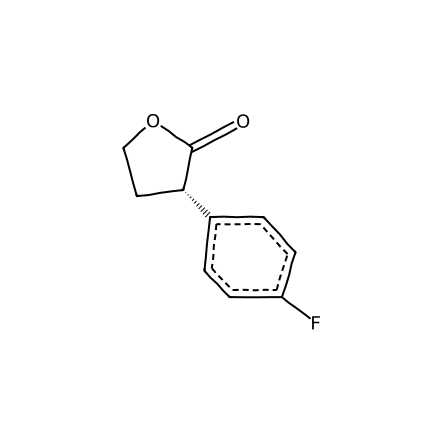 O=C1OCC[C@H]1c1ccc(F)cc1